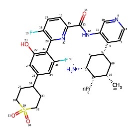 CCC[C@@H]1[C@H](N)C[C@H](c2ccncc2NC(=O)c2ccc(F)c(-c3c(O)cc(C4CCS(=O)(=O)CC4)cc3F)n2)C[C@@H]1C